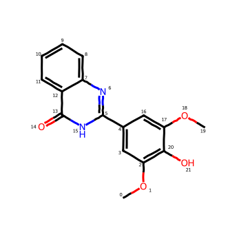 COc1cc(-c2nc3ccccc3c(=O)[nH]2)cc(OC)c1O